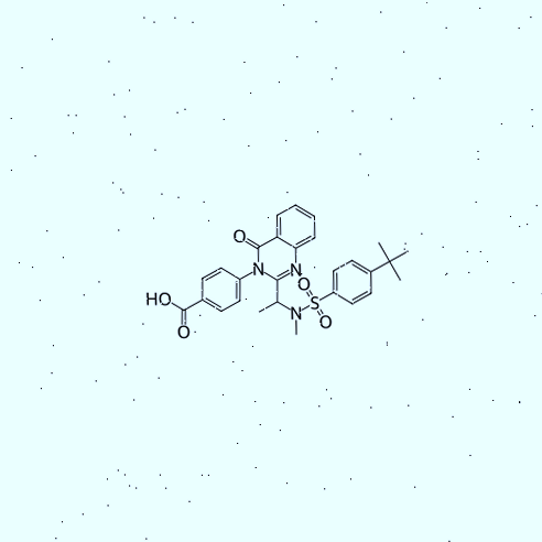 CC(c1nc2ccccc2c(=O)n1-c1ccc(C(=O)O)cc1)N(C)S(=O)(=O)c1ccc(C(C)(C)C)cc1